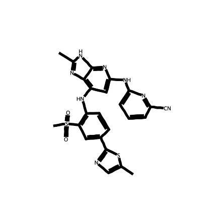 Cc1nc2c(Nc3ccc(-c4ncc(C)s4)cc3S(C)(=O)=O)cc(Nc3cccc(C#N)n3)nc2[nH]1